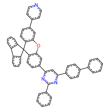 c1ccc(-c2ccc(-c3cc(-c4ccc5c(c4)Oc4cc(-c6ccncc6)ccc4C54c5ccccc5-c5ccccc54)nc(-c4ccccc4)n3)cc2)cc1